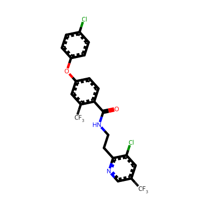 O=C(NCCc1ncc(C(F)(F)F)cc1Cl)c1ccc(Oc2ccc(Cl)cc2)cc1C(F)(F)F